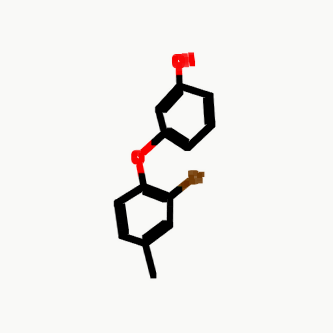 Cc1ccc(Oc2cccc(O)c2)c(Br)c1